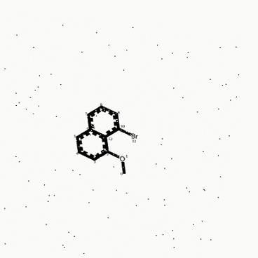 COc1cccc2cccc(Br)c12